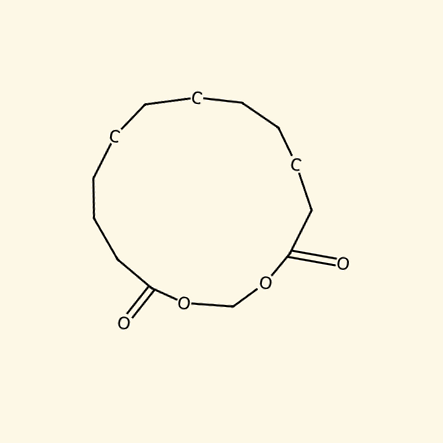 O=C1CCCCCCCCCCC(=O)OCO1